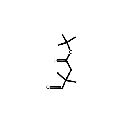 CC(C)(C=O)CC(=O)OC(C)(C)C